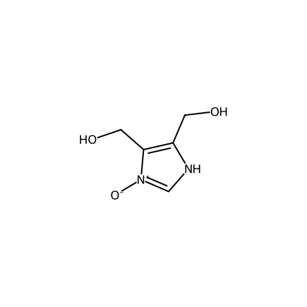 [O-][n+]1c[nH]c(CO)c1CO